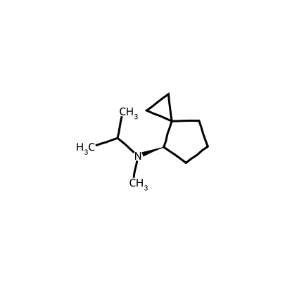 CC(C)N(C)[C@@H]1CCCC12CC2